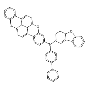 C1=C2c3ccccc3OC2CC=C1N(c1ccc(-c2ccccc2)cc1)c1ccc2c(c1)OC1=CC=C3c4ccccc4OC4=CC=C2C1C43